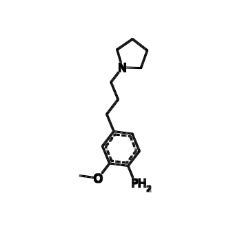 COc1cc(CCCN2CCCC2)ccc1P